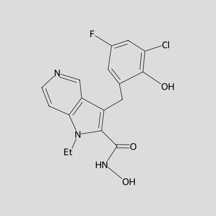 CCn1c(C(=O)NO)c(Cc2cc(F)cc(Cl)c2O)c2cnccc21